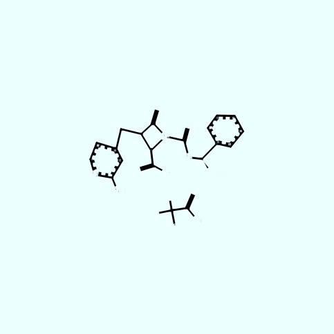 C[C@@H](NC(=O)N1C(=O)C(Cc2ccnc(N)c2)C1C(=O)O)c1ccccc1.O=C(O)C(F)(F)F